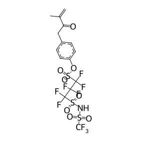 C=C(C)C(=O)Cc1ccc(OS(=O)(=O)C(F)(F)C(F)(F)C(F)(F)S(=O)(=O)NS(=O)(=O)C(F)(F)F)cc1